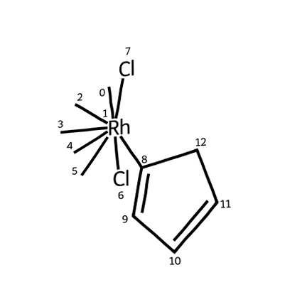 [CH3][Rh]([CH3])([CH3])([CH3])([CH3])([Cl])([Cl])[C]1=CC=CC1